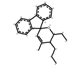 CCCC1C(C)=CC2(OC1CC)c1ccccc1-c1ccccc12